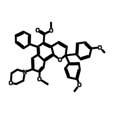 COC(=O)c1c2c(c3cc(OC)c(N4CCOCC4)cc3c1-c1ccccc1)OC(c1ccc(OC)cc1)(c1ccc(OC)cc1)C=C2